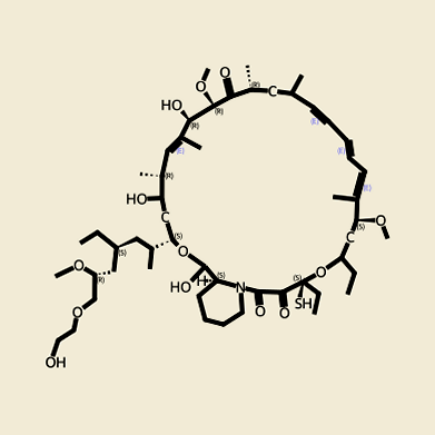 CCC1C[C@H](OC)/C(C)=C/C=C/C=C/C(C)C[C@@H](C)C(=O)[C@H](OC)[C@H](O)/C(C)=C/[C@@H](C)C(O)C[C@@H](C(C)C[C@H](CC)C[C@H](COCCO)OC)OC(O)[C@@H]2CCCCN2C(=O)C(=O)[C@@](S)(CC)O1